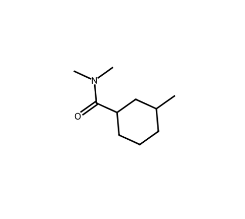 CC1CCCC(C(=O)N(C)C)C1